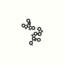 Cc1cccc(-c2cc3c(c4c2oc2ccccc24)-c2ccc(N(c4ccc5c(c4)C(C)(C)c4c6c(c7c(oc8ccccc87)c4-5)-c4ccccc4C6(C)C)c4cccc5c4-c4ccccc4C5(C)C)cc2C3(C)C)c1